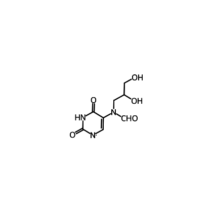 O=CN(CC(O)CO)C1=C[N]C(=O)NC1=O